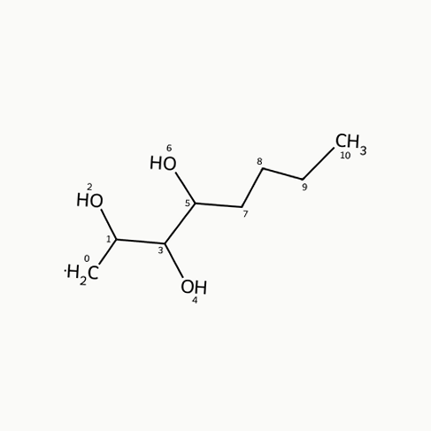 [CH2]C(O)C(O)C(O)CCCC